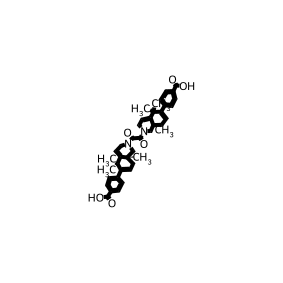 CC1(C)C(c2ccc(C(=O)O)cc2)=CC[C@]2(C)CN(C(=O)C(=O)N3CC=C4C(C)(C)C(c5ccc(C(=O)O)cc5)=CC[C@]4(C)C3)CC=C12